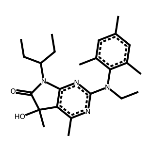 CCC(CC)N1C(=O)C(C)(O)c2c(C)nc(N(CC)c3c(C)cc(C)cc3C)nc21